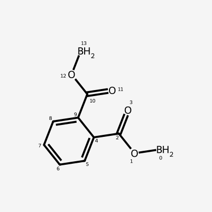 BOC(=O)c1ccccc1C(=O)OB